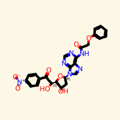 O=C(COc1ccccc1)Nc1ncnc2c1ncn2[C@H]1C[C@H](O)[C@@H](C(O)C(=O)c2ccc([N+](=O)[O-])cc2)O1